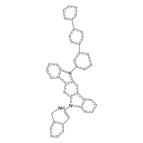 C1=C(n2c3ccccc3c3cc4c(cc32)c2ccccc2n4-c2cccc(-c3ccc(-c4ccccc4)cc3)c2)NCc2ccccc21